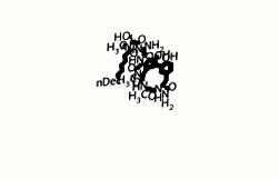 CCCCCCCCCCCCCCCC(=O)N(C)[C@H](CO)C(=O)N[C@H](N)C(=O)NCC(=O)N(C)[C@@H]1C(=O)N[C@@H](C)C(=O)N[C@H](C(N)=O)Cc2ccc(O)c(c2)-c2cc1ccc2O